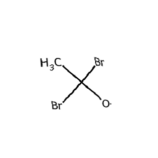 CC([O])(Br)Br